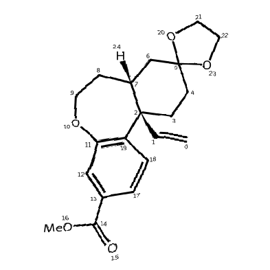 C=C[C@]12CCC3(C[C@H]1CCOc1cc(C(=O)OC)ccc12)OCCO3